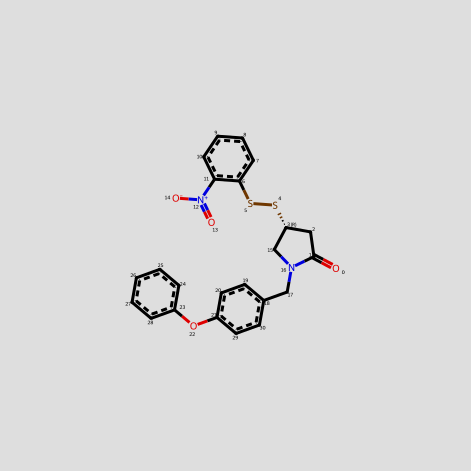 O=C1C[C@@H](SSc2ccccc2[N+](=O)[O-])CN1Cc1ccc(Oc2ccccc2)cc1